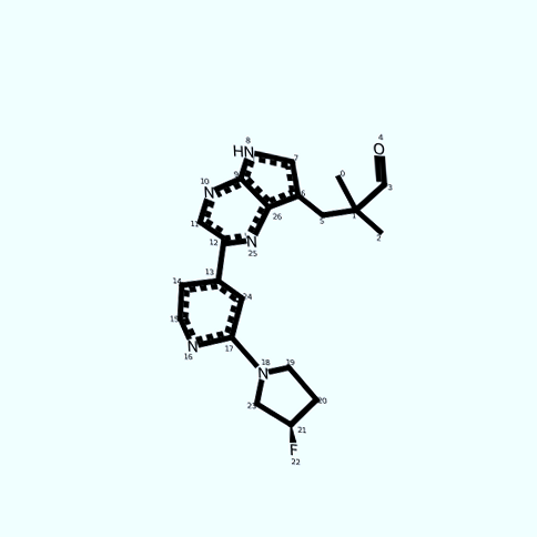 CC(C)(C=O)Cc1c[nH]c2ncc(-c3ccnc(N4CC[C@@H](F)C4)c3)nc12